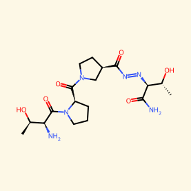 C[C@@H](O)[C@H](N)C(=O)N1CCC[C@@H]1C(=O)N1CC[C@@H](C(=O)N=N[C@H](C(N)=O)[C@@H](C)O)C1